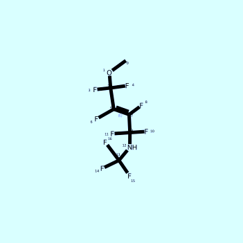 COC(F)(F)/C(F)=C(\F)C(F)(F)NC(F)(F)F